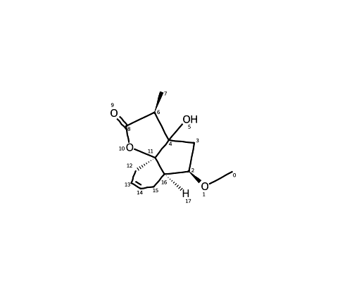 CO[C@@H]1CC2(O)[C@H](C)C(=O)O[C@@]23CC=CC[C@H]13